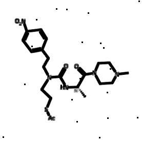 CC(=O)SCCN(CCc1ccc([N+](=O)[O-])cc1)C(=O)N[C@@H](C)C(=O)N1CCN(C)CC1